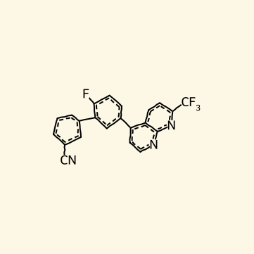 N#Cc1cccc(-c2cc(-c3ccnc4nc(C(F)(F)F)ccc34)ccc2F)c1